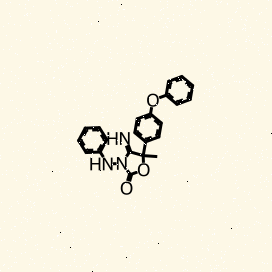 CC1(c2ccc(Oc3ccccc3)cc2)OC(=O)N(Nc2ccccc2)C1=N